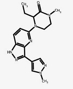 CCC1C(=O)N(C)CCN1c1ccc2[nH]nc(-c3cnn(C)c3)c2n1